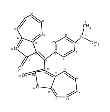 CN(C)c1ccc(/C(=C2/C(=O)[O+]=C3C=CC=CC=C32)c2c3cccccc-3oc2=O)cc1